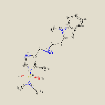 Cc1c(CNCCc2cc3ccccc3n2C)ncn1S(=O)(=O)N(C)C